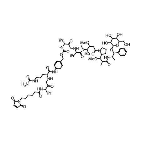 CCC(C)C(C(CC(=O)N1CCCC1C(OC)C(C)C(=O)NC(C)C(OC1O[C@H](CO)C(O)C(O)[C@@H]1O)c1ccccc1)OC)N(C)C(=O)C(NCC(=O)C(C(C)C)N(C)C(=O)OCc1ccc(NC(=O)C(CCCNC(N)=O)NCC(=O)C(NC(=O)CCCCCN2C(=O)C=CC2=O)C(C)C)cc1)C(C)C